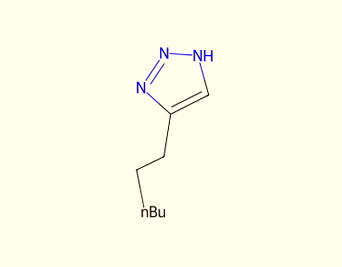 CCCCCCc1c[nH]nn1